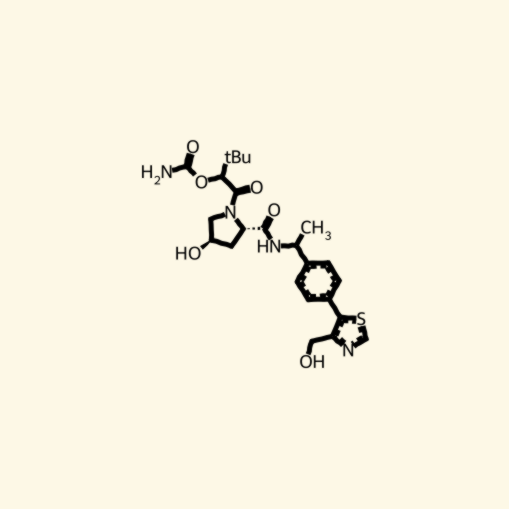 CC(NC(=O)[C@@H]1C[C@@H](O)CN1C(=O)C(OC(N)=O)C(C)(C)C)c1ccc(-c2scnc2CO)cc1